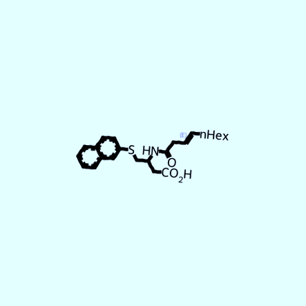 CCCCCC/C=C/CC(=O)NC(CSc1ccc2ccccc2c1)CC(=O)O